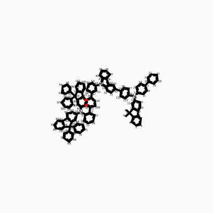 CC1(C)c2ccccc2-c2ccc(N(c3ccc(-c4ccccc4)cc3)c3ccc(-c4ccc5c(c4)c4ccccc4n5-c4cccc(-c5ccc(-c6ccccc6N(c6ccc7c(c6)C(c6ccccc6)(c6ccccc6)c6ccccc6-7)c6ccc7c(c6)C(c6ccccc6)(c6ccccc6)c6ccccc6-7)cc5)c4)cc3)cc21